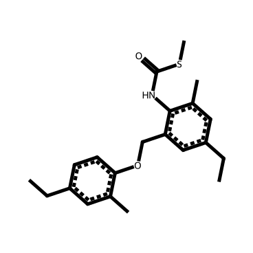 CCc1ccc(OCc2cc(CC)cc(C)c2NC(=O)SC)c(C)c1